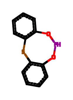 c1ccc2c(c1)OPOc1ccccc1S2